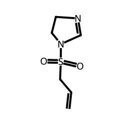 C=CCS(=O)(=O)N1C=NCC1